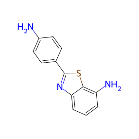 Nc1ccc(-c2nc3cccc(N)c3s2)cc1